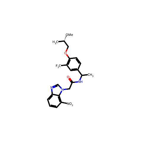 CO[C@@H](C)COc1ccc(C(C)NC(=O)Cn2cnc3cccc([N+](=O)[O-])c32)cc1C(F)(F)F